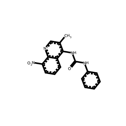 Cc1cnc2c([N+](=O)[O-])cccc2c1NC(=O)Nc1ccccc1